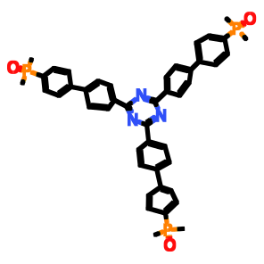 CP(C)(=O)c1ccc(-c2ccc(-c3nc(-c4ccc(-c5ccc(P(C)(C)=O)cc5)cc4)nc(-c4ccc(-c5ccc(P(C)(C)=O)cc5)cc4)n3)cc2)cc1